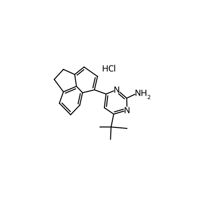 CC(C)(C)c1cc(-c2ccc3c4c(cccc24)CC3)nc(N)n1.Cl